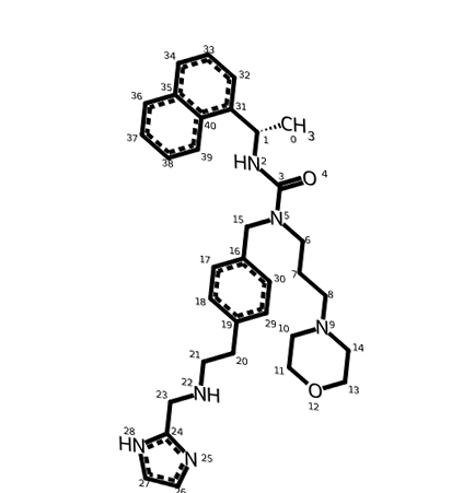 C[C@H](NC(=O)N(CCCN1CCOCC1)Cc1ccc(CCNCc2ncc[nH]2)cc1)c1cccc2ccccc12